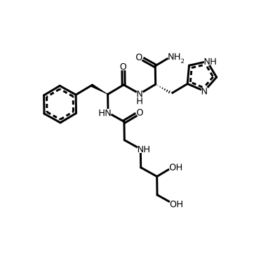 NC(=O)[C@H](Cc1c[nH]cn1)NC(=O)[C@H](Cc1ccccc1)NC(=O)CNCC(O)CO